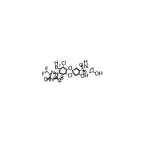 Bc1c(Cl)c(Oc2ccc(O)c(S(=O)(=O)N[C@H]3C[C@H](O)C3)c2)c(Cl)c(B)c1-n1nc(C(F)F)c(=O)[nH]c1=O